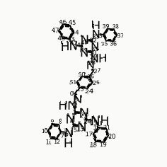 C(=N\Nc1nc(Nc2ccccc2)nc(Nc2ccccc2)n1)/c1ccc(/C=N/Nc2nc(Nc3ccccc3)nc(Nc3ccccc3)n2)cc1